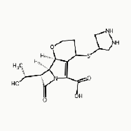 C[C@@H](O)[C@H]1C(=O)N2C(C(=O)O)=C3C(SC4CNNC4)CCO[C@@H]3[C@H]12